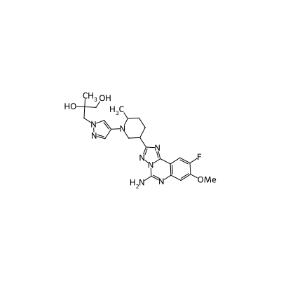 COc1cc2nc(N)n3nc(C4CCC(C)N(c5cnn(CC(C)(O)CO)c5)C4)nc3c2cc1F